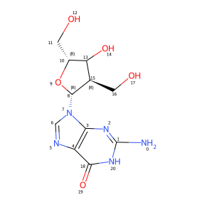 Nc1nc2c(ncn2[C@@H]2O[C@H](CO)C(O)[C@H]2CO)c(=O)[nH]1